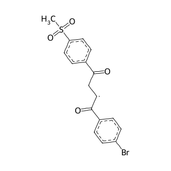 CS(=O)(=O)c1ccc(C(=O)C[CH]C(=O)c2ccc(Br)cc2)cc1